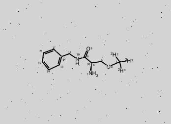 [2H]C([2H])([2H])OC[C@@H](N)C(=O)NCc1ccccc1